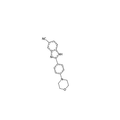 N#Cc1ccc2[nH]c(-c3ccc(N4CCOCC4)cc3)nc2c1